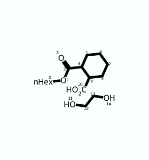 CCCCCCOC(=O)C1CCCCC1C(=O)O.OCCO